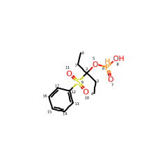 CCC(CC)(O[PH](=O)O)S(=O)(=O)c1ccccc1